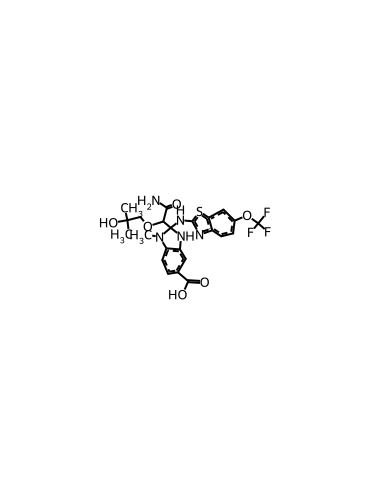 CN1c2ccc(C(=O)O)cc2NC1(Nc1nc2ccc(OC(F)(F)F)cc2s1)C(OCC(C)(C)O)C(N)=O